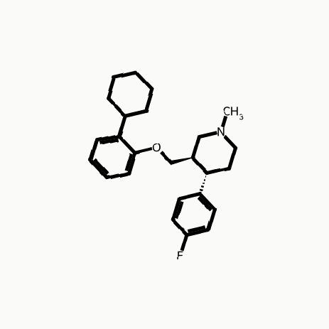 CN1CC[C@H](c2ccc(F)cc2)[C@@H](COc2ccccc2C2CCCCC2)C1